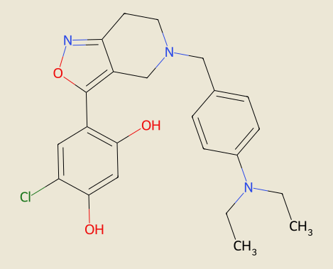 CCN(CC)c1ccc(CN2CCc3noc(-c4cc(Cl)c(O)cc4O)c3C2)cc1